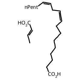 CC=CC(=O)O.CCCCC/C=C\C/C=C\CCCCCCCC(=O)O